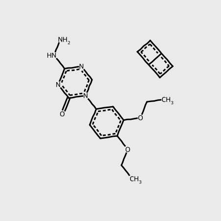 CCOc1ccc(-n2cnc(NN)nc2=O)cc1OCC.c1cc2ccc1-2